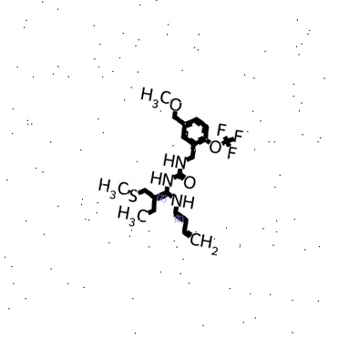 C=C/C=C/N/C(NC(=O)NCc1cc(COC)ccc1OC(F)(F)F)=C(\CC)CSC